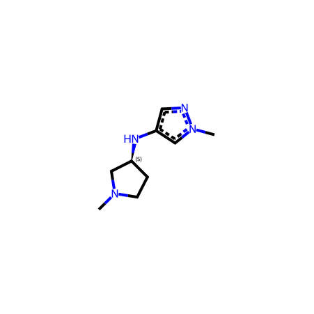 CN1CC[C@H](Nc2cnn(C)c2)C1